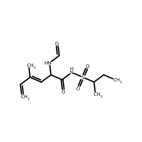 C=CC(C)=CC(NC=O)C(=O)NS(=O)(=O)C(C)CC